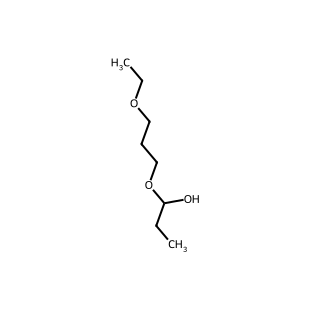 CCOCCCOC(O)CC